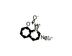 [Cu+].[Na+].[O-]P([O-])[O-].c1ccc2[nH+]cccc2c1